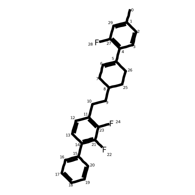 Cc1ccc(C2=CCC(CCc3ccc(-c4ccccc4)c(F)c3F)CC2)c(F)c1